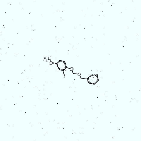 FC(F)(F)Oc1ccc(OCOCc2ccccc2)c(I)c1